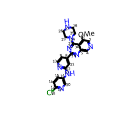 COc1cncc2nc(-c3ccnc(Nc4ccc(Cl)nc4)c3)nc(N3CCNCC3)c12